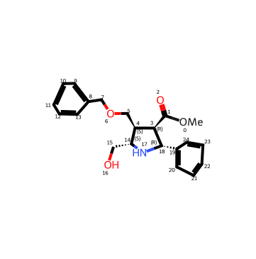 COC(=O)[C@@H]1[C@H](COCc2ccccc2)[C@@H](CO)N[C@H]1c1ccccc1